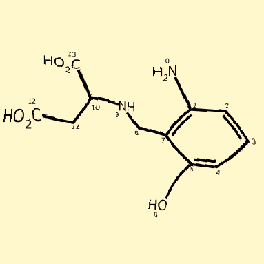 Nc1cccc(O)c1CNC(CC(=O)O)C(=O)O